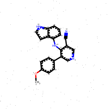 COc1ccc(-c2cncc(C#N)c2Nc2cccc3[nH]ccc23)cc1